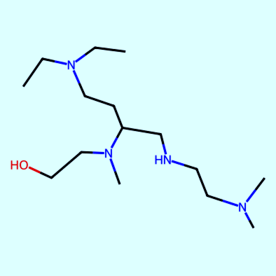 CCN(CC)CCC(CNCCN(C)C)N(C)CCO